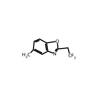 Cc1ccc2oc(CC(F)(F)F)nc2c1